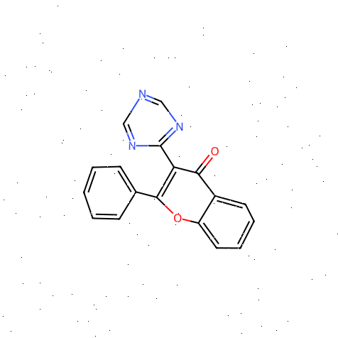 O=c1c(-c2ncncn2)c(-c2ccccc2)oc2ccccc12